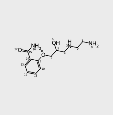 NCCNCC(O)COc1ccccc1C(N)=O